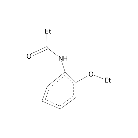 [CH2]COc1ccccc1NC(=O)CC